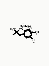 CC(N)(Cc1ccc(O)c(O)c1)C(=O)O.NN